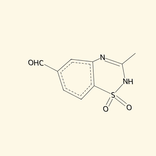 CC1=Nc2cc(C=O)ccc2S(=O)(=O)N1